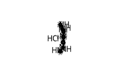 Cl.c1cc(-c2c[nH]c([C@@H]3CCCN3)n2)ccc1-c1ccc(-c2ccc3[nH]c(C4CCCN4)nc3c2)nc1